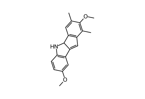 COc1ccc2c(c1)C1=Cc3c(cc(C)c(OC)c3C)C1N2